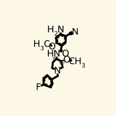 COc1cc(N)c(C#N)cc1C(=O)N[C@@H]1CCN(Cc2ccc(F)cc2)C[C@@H]1OC